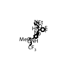 CCn1nccc1C(=O)N[C@H](c1nc2cc([C@H](COC)NC(=O)CCC(F)(F)F)ccc2o1)C1CCC(F)(F)CC1